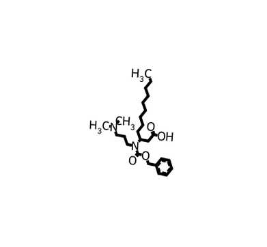 CCCCCCCCCC(CC(=O)O)N(CCCN(C)C)C(=O)OCc1ccccc1